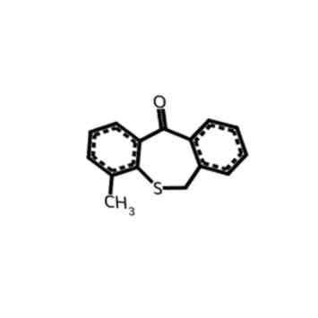 Cc1cccc2c1SCc1ccccc1C2=O